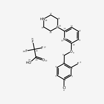 Fc1cc(Cl)ccc1COc1cccc(N2CCNCC2)n1.O=C(O)C(F)(F)F